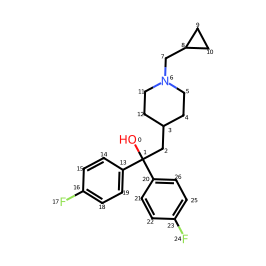 OC(CC1CCN(CC2CC2)CC1)(c1ccc(F)cc1)c1ccc(F)cc1